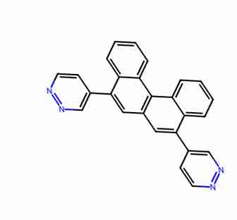 c1ccc2c(c1)c(-c1ccnnc1)cc1cc(-c3ccnnc3)c3ccccc3c12